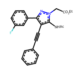 CCOC(=O)Cn1nc(-c2cccc(F)c2)c(C#Cc2ccccc2)c1NC(C)=O